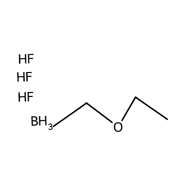 B.CCOCC.F.F.F